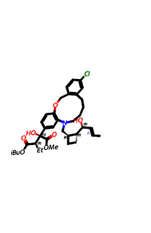 C/C=C/[C@H](O)[C@@H]1CC[C@H]1CN1CCCCc2cc(Cl)ccc2COc2ccc([C@](O)(C(=O)OC)[C@@H](CC)C(=O)OCC(C)C)cc21